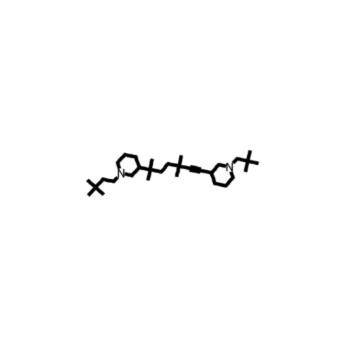 CC(C)(C)CCN1CCCC(C(C)(C)CCC(C)(C)C#CC2CCCN(CC(C)(C)C)C2)C1